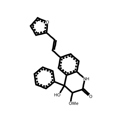 COC1C(=O)Nc2ccc(C=Cc3ccco3)cc2C1(O)c1ccccc1